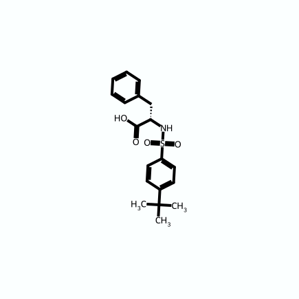 CC(C)(C)c1ccc(S(=O)(=O)N[C@@H](Cc2ccccc2)C(=O)O)cc1